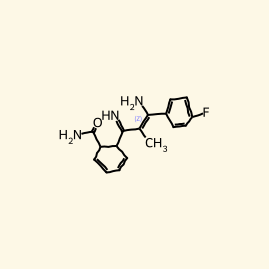 C/C(C(=N)C1C=CC=CC1C(N)=O)=C(/N)c1ccc(F)cc1